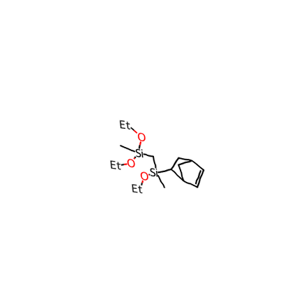 CCO[Si](C)(C[Si](C)(OCC)C1CC2C=CC1C2)OCC